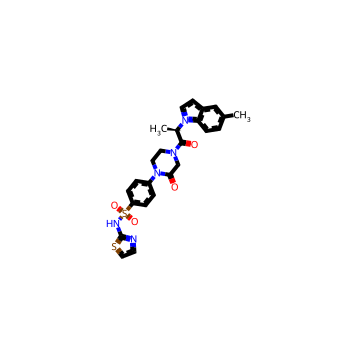 Cc1ccc2c(ccn2[C@H](C)C(=O)N2CCN(c3ccc(S(=O)(=O)Nc4nccs4)cc3)C(=O)C2)c1